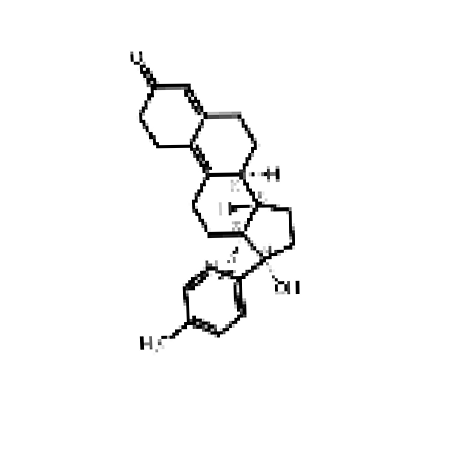 Cc1ccc([C@]2(O)CC[C@H]3[C@@H]4CCC5=CC(=O)CCC5=C4CC[C@@]32C)cc1